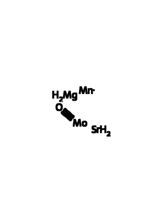 [MgH2].[Mn].[O]=[Mo].[SrH2]